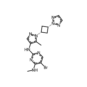 CNc1nc(Nc2cnn([C@H]3C[C@@H](n4nccn4)C3)c2C)ncc1Br